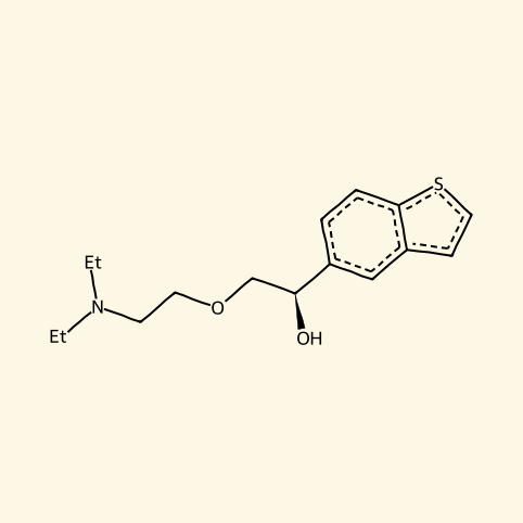 CCN(CC)CCOC[C@H](O)c1ccc2sccc2c1